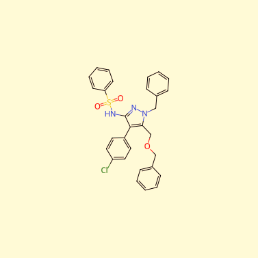 O=S(=O)(Nc1nn(Cc2ccccc2)c(COCc2ccccc2)c1-c1ccc(Cl)cc1)c1ccccc1